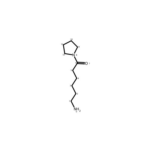 NCCCCCC(=O)N1CCCC1